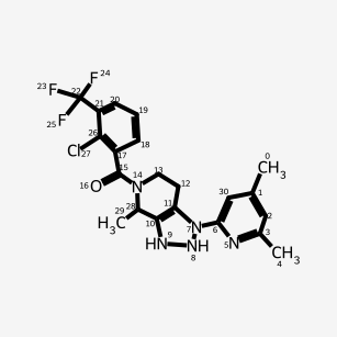 Cc1cc(C)nc(N2NNC3=C2CCN(C(=O)c2cccc(C(F)(F)F)c2Cl)C3C)c1